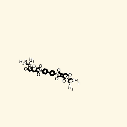 BCC(C)N1C(=O)CC(CC2CC(=O)N(c3ccc(-c4ccc(N5C(=O)C6C7CC(=O)N(C(CC)CC)C(=O)C7C6C5=O)cc4)cc3)C2=O)C1=O